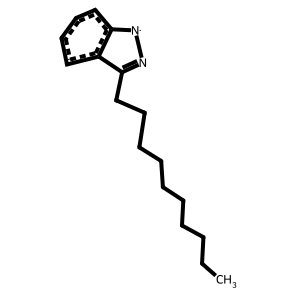 CCCCCCCCCCC1=N[N]c2ccccc21